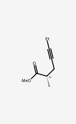 CCC#CC[C@H](C)C(=O)OC